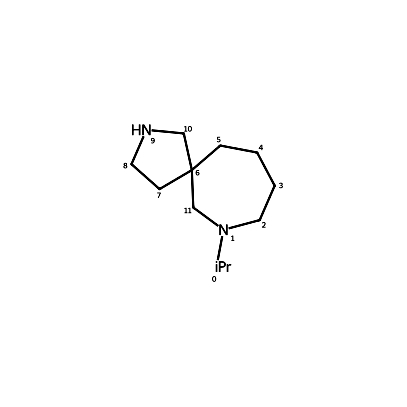 CC(C)N1CCCCC2(CCNC2)C1